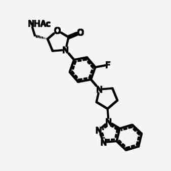 CC(=O)NC[C@H]1CN(c2ccc(N3CCC(n4nnc5ccccc54)C3)c(F)c2)C(=O)O1